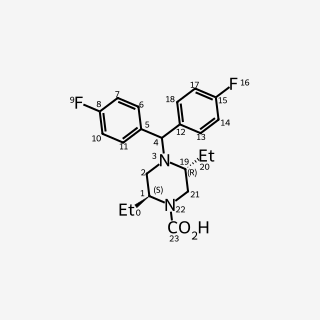 CC[C@H]1CN(C(c2ccc(F)cc2)c2ccc(F)cc2)[C@H](CC)CN1C(=O)O